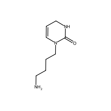 NCCCCN1C=CCNC1=O